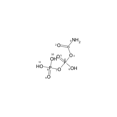 NC(=O)OP(=O)(O)OP(=O)(O)O